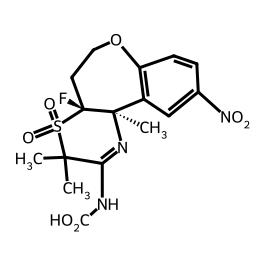 CC1(C)C(NC(=O)O)=N[C@]2(C)c3cc([N+](=O)[O-])ccc3OCC[C@@]2(F)S1(=O)=O